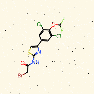 O=C(CBr)Nc1nc(-c2cc(Cl)c(OC(F)F)c(Cl)c2)cs1